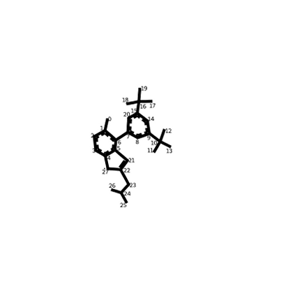 Cc1ccc2c(c1-c1cc(C(C)(C)C)cc(C(C)(C)C)c1)C=C(CC(C)C)[CH]2